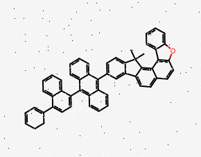 CC1(C)c2ccc(-c3c4ccccc4c(-c4ccc(C5=CC=CCC5)c5ccccc45)c4ccccc34)cc2-c2ccc3ccc4oc5ccccc5c4c3c21